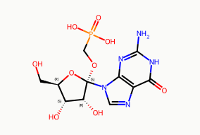 Nc1nc2c(ncn2[C@]2(OCP(=O)(O)O)O[C@H](CO)[C@@H](O)[C@H]2O)c(=O)[nH]1